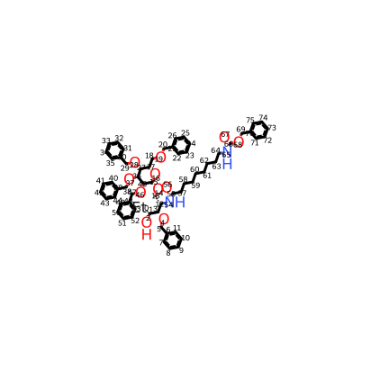 CC[C@@H](O)[C@@H](OCc1ccccc1)[C@H](CO[C@H]1OC(COCc2ccccc2)[C@H](OCc2ccccc2)[C@H](OCc2ccccc2)C1OCc1ccccc1)NC(=O)CCCCCCCCNC(=O)OCc1ccccc1